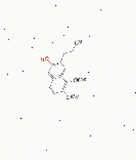 COc1ccc2cc(O)c(CCC#N)cc2c1OC